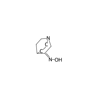 O/N=C1\CN2CCCC1CC2